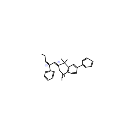 CC/C=C(\C=C1/CN(I)c2ccc(-c3ccccc3)cc2C1(C)C)c1ccccc1